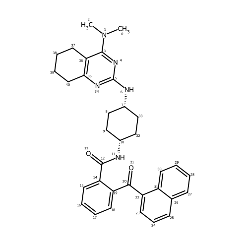 CN(C)c1nc(N[C@H]2CC[C@@H](NC(=O)c3ccccc3C(=O)c3cccc4ccccc34)CC2)nc2c1CCCC2